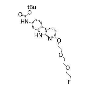 CC(C)(C)OC(=O)Nc1ccc2c(c1)[nH]c1nc(OCCOCCOCCF)ccc12